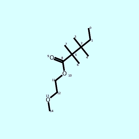 CCC(C)(C)C(C)(C)C(=O)OCCOC